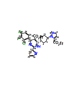 CCOC(=O)C1=C([C@H]2CC[C@H](n3nccc3C(=O)OCC)CC2)NC(c2nccs2)=NC1c1ccc(F)c(F)c1Cl